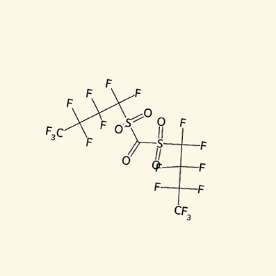 O=C(S(=O)(=O)C(F)(F)C(F)(F)C(F)(F)C(F)(F)F)S(=O)(=O)C(F)(F)C(F)(F)C(F)(F)C(F)(F)F